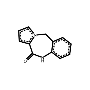 O=C1Nc2ccccc2Cn2cccc21